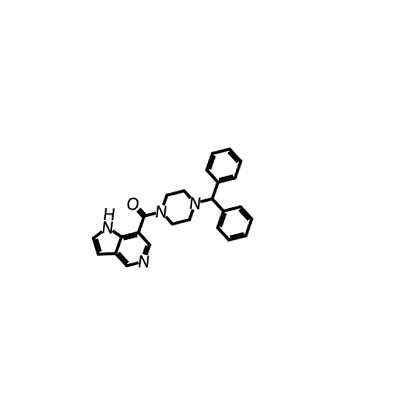 O=C(c1cncc2cc[nH]c12)N1CCN(C(c2ccccc2)c2ccccc2)CC1